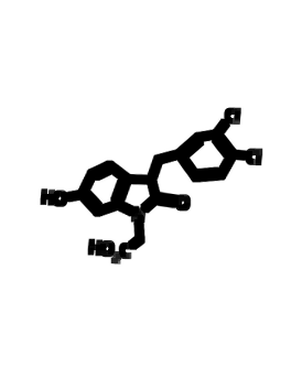 O=C(O)CN1C(=O)C(Cc2ccc(Cl)c(Cl)c2)c2ccc(O)cc21